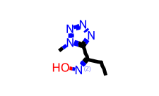 CC/C(=N/O)c1nnnn1C